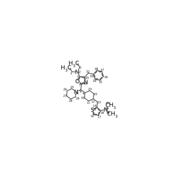 CCN(CC)c1oc(C(C2CCC(Cc3sccc3N(C)C)CC2)N2CCCCC2)nc1Cc1ccccc1